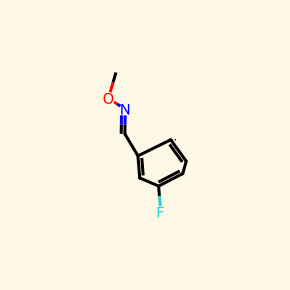 CO/N=C/c1[c]ccc(F)c1